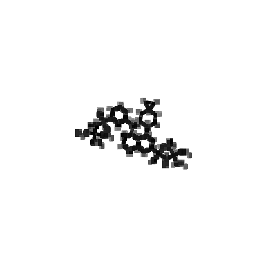 CC(C)(C)NS(=O)(=O)c1cc(N2CCC3(CC2)CC3)c2c(Nc3cccc(S(=O)(=O)NC(C)(C)C)n3)ncnc2c1